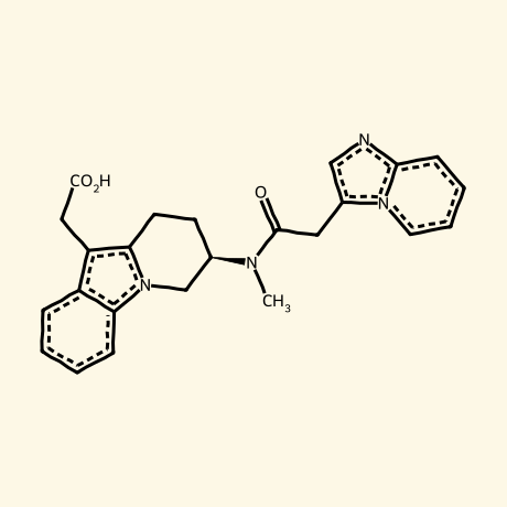 CN(C(=O)Cc1cnc2ccccn12)[C@@H]1CCc2c(CC(=O)O)c3ccccc3n2C1